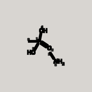 CP(=O)(O)O.[CH3][AlH2]